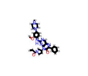 C=CC(=O)N1CC[C@H](n2c(=O)c(-c3ccccc3)nc3cnc(Nc4ccc(N5CCN(C)CC5)cc4OC)nc32)C1